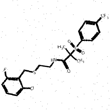 CC(C)(C(=O)NCCSCc1c(F)cccc1Cl)S(=O)(=O)c1ccc(C(F)(F)F)cc1